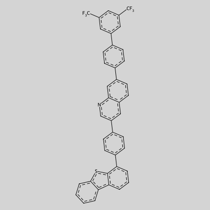 FC(F)(F)c1cc(-c2ccc(-c3ccc4cc(-c5ccc(-c6cccc7c6sc6ccccc67)cc5)cnc4c3)cc2)cc(C(F)(F)F)c1